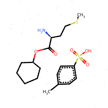 CSCC[C@H](N)C(=O)OC1CCCCC1.Cc1ccc(S(=O)(=O)O)cc1